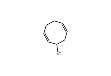 CCC1C=CCCC=CC1